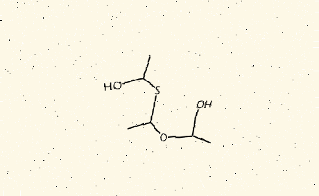 CC(O)OC(C)SC(C)O